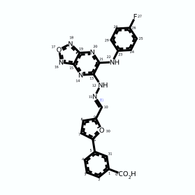 O=C(O)c1cccc(-c2ccc(/C=N/Nc3nc4nonc4nc3Nc3ccc(F)cc3)o2)c1